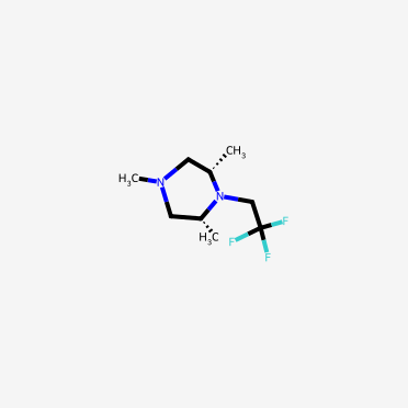 C[C@@H]1CN(C)C[C@H](C)N1CC(F)(F)F